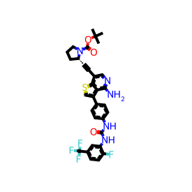 CC(C)(C)OC(=O)N1CCC[C@H]1C#Cc1cnc(N)c2c(-c3ccc(NC(=O)Nc4cc(C(F)(F)F)ccc4F)cc3)csc12